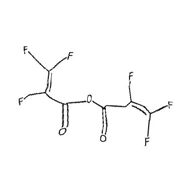 O=C(OC(=O)C(F)=C(F)F)C(F)=C(F)F